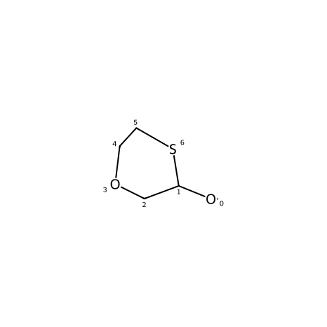 [O]C1COCCS1